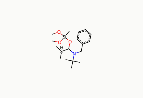 CO[Si](C)(OC)OC(N(Cc1ccccc1)C(C)(C)C)[SiH](C)C